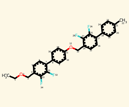 CCOCc1ccc(-c2ccc(OCc3ccc(-c4ccc(C)cc4)c(F)c3F)cc2)c(F)c1F